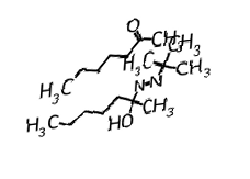 CCCCCC(C)(O)/N=N/C(C)(C)C.CCCCCC(C)=O